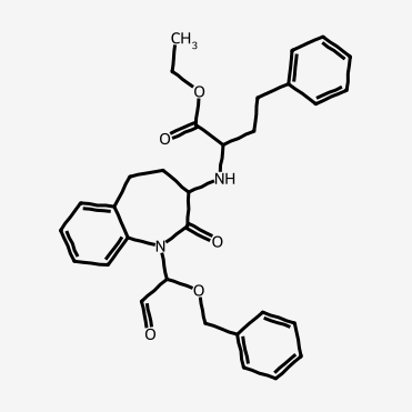 CCOC(=O)C(CCc1ccccc1)NC1CCc2ccccc2N(C(C=O)OCc2ccccc2)C1=O